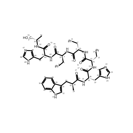 CC(C)C[C@H](NC(=O)[C@H](CC(C)C)NC(=O)[C@H](CC(C)C)NC(=O)[C@H](Cc1cnc[nH]1)NC(=O)[C@@H](C)Cc1c[nH]c2ccccc12)C(=O)N[C@@H](Cc1cnc[nH]1)C(=O)N[C@@H](C)C(=O)O